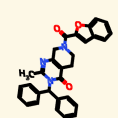 Cc1nc2c(c(=O)n1C(c1ccccc1)c1ccccc1)CCN(C(=O)c1cc3ccccc3o1)C2